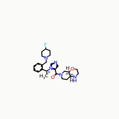 C[C@@H](c1ccccc1CN1CCC(F)CC1)n1cncc1C(=O)N1CC[C@H]2NCCO[C@@H]2C1